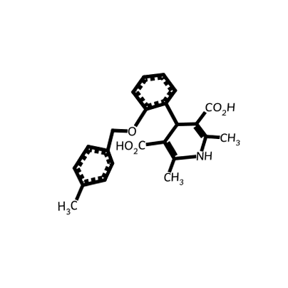 CC1=C(C(=O)O)C(c2ccccc2OCc2ccc(C)cc2)C(C(=O)O)=C(C)N1